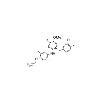 COc1cn(Cc2ccc(F)c(Cl)c2)c(Nc2cc(C)c(OCC(F)(F)F)cc2C)nc1=O